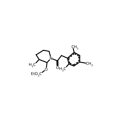 CCOC(=O)OC1C(C)CCCN1C(=O)Cc1c(C)cc(C)cc1C